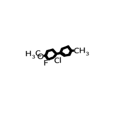 COC1CCC(C2=CCC(C)CC2)C(Cl)C1F